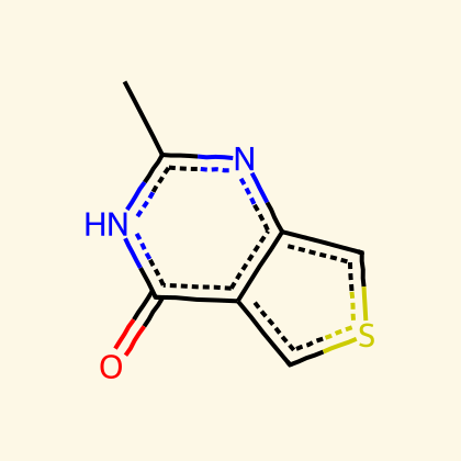 Cc1nc2cscc2c(=O)[nH]1